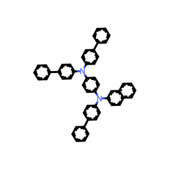 c1ccc(-c2ccc(N(c3ccc(-c4ccccc4)cc3)c3ccc(N(c4ccc(-c5ccccc5)cc4)c4ccc5ccccc5c4)cc3)cc2)cc1